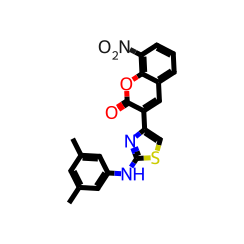 Cc1cc(C)cc(Nc2nc(-c3cc4cccc([N+](=O)[O-])c4oc3=O)cs2)c1